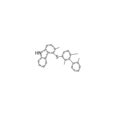 Cc1ccccc1-c1c(C)ccc(Sc2c(C)ccc3[nH]c4ccccc4c23)c1C